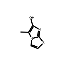 Cc1c(O)nc2sccn12